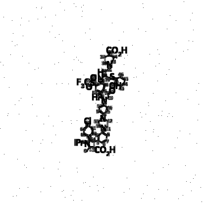 Cc1c(C(=O)O)c(-c2cccc(N3CCN(c4ccc(N(CCOO)Pc5ccc(N[C@H](CCN6CCC(C(=O)O)CC6)CSc6ccccc6)c(S(=O)(=O)C(F)(F)F)c5)cc4)CC3)c2)c(-c2ccc(Cl)cc2)n1C(C)C